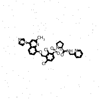 Cc1cc(-n2ccnc2)c2cccc(OCc3c(Cl)ccc(S(=O)(=O)N4CCC[C@H]4C(=O)NCc4ccccn4)c3Cl)c2n1